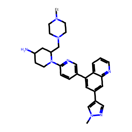 CCN1CCN(CC2CC(N)CCN2c2ccc(-c3cc(-c4cnn(C)c4)cc4ncccc34)cn2)CC1